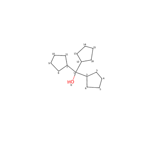 OC(C1CCCC1)(C1CCCC1)C1CCCC1